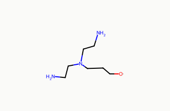 NCCN(CCN)CCC[O]